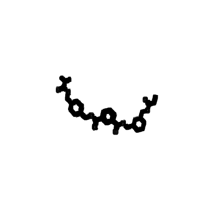 C=CC(=O)OCC1CCCC(COC(=O)c2cccc(C(=O)OCC3CCC(COC(=O)C(=C)C)CC3)c2)C1